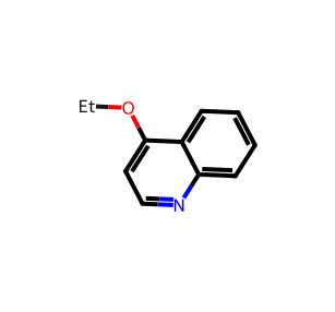 CCOc1ccnc2ccccc12